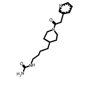 NC(=O)NCCCCC1CCN(C(=O)Cc2cccnc2)CC1